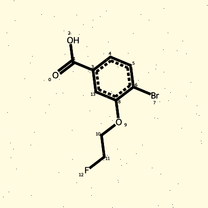 O=C(O)c1ccc(Br)c(OCCF)c1